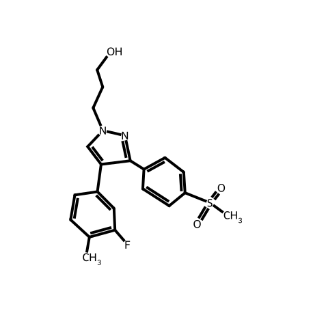 Cc1ccc(-c2cn(CCCO)nc2-c2ccc(S(C)(=O)=O)cc2)cc1F